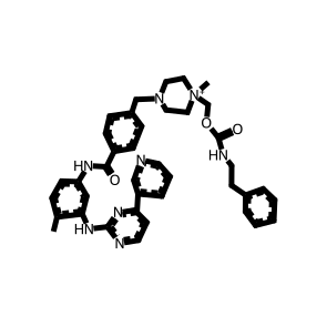 Cc1ccc(NC(=O)c2ccc(CN3CC[N+](C)(COC(=O)NCCc4ccccc4)CC3)cc2)cc1Nc1nccc(-c2cccnc2)n1